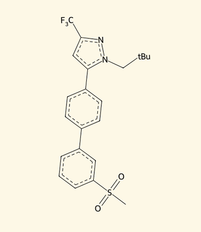 CC(C)(C)Cn1nc(C(F)(F)F)cc1-c1ccc(-c2cccc(S(C)(=O)=O)c2)cc1